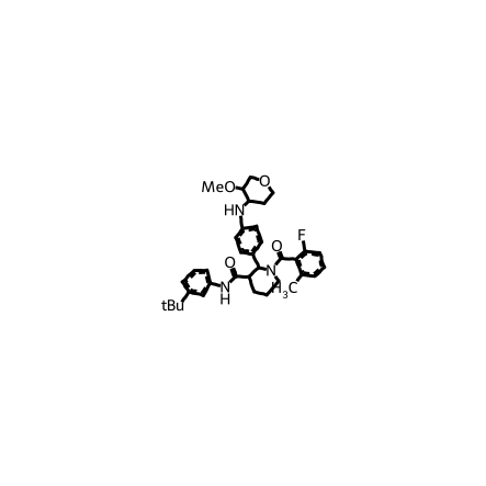 COC1COCCC1Nc1ccc(C2C(C(=O)Nc3cccc(C(C)(C)C)c3)CCCN2C(=O)c2c(C)cccc2F)cc1